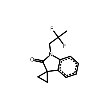 CC(F)(F)CN1C(=O)C2(CC2)c2ccccc21